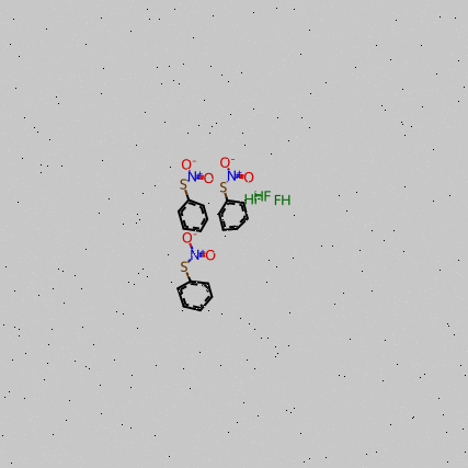 F.F.F.O=[N+]([O-])Sc1ccccc1.O=[N+]([O-])Sc1ccccc1.O=[N+]([O-])Sc1ccccc1